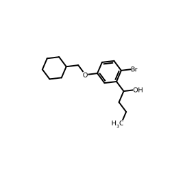 CCCC(O)c1cc(OCC2CCCCC2)ccc1Br